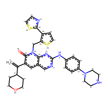 C=C(c1cc2cnc(Nc3ccc(N4CCNCC4)cc3)nc2n(Cc2sccc2-c2nccs2)c1=O)C1CCOCC1